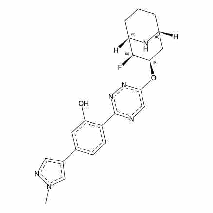 Cn1cc(-c2ccc(-c3ncc(O[C@@H]4C[C@H]5CCC[C@H](N5)[C@@H]4F)nn3)c(O)c2)cn1